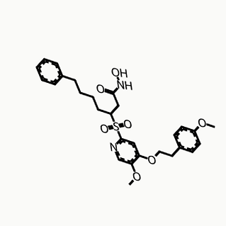 COc1ccc(CCOc2cc(S(=O)(=O)C(CCCCc3ccccc3)CC(=O)NO)ncc2OC)cc1